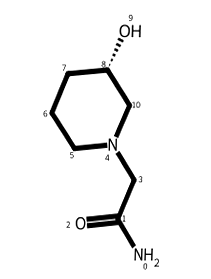 NC(=O)CN1CCC[C@H](O)C1